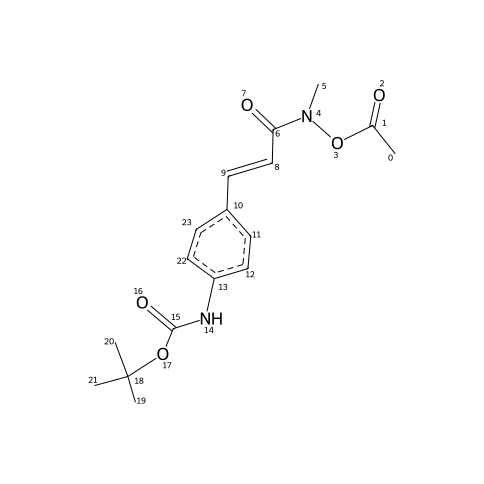 CC(=O)ON(C)C(=O)C=Cc1ccc(NC(=O)OC(C)(C)C)cc1